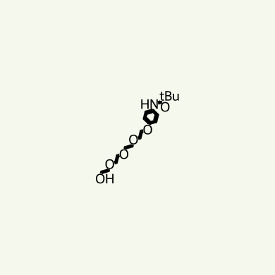 CC(C)(C)C(=O)Nc1ccc(OCCOCCOCCOCCO)cc1